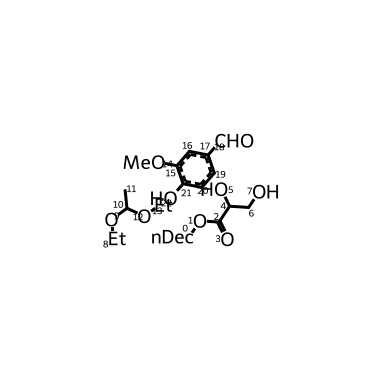 CCCCCCCCCCOC(=O)C(O)CO.CCOC(C)OCC.COc1cc(C=O)ccc1O